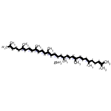 CC(C)=CCC/C(C)=C/C=C/C(C)=C/C=C/C(C)=C/C=C/C=C(C)/C=C/C=C(C)/C=C/C=C(\C)CCC=C(C)C.[PbH2]